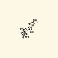 Nc1ncn([C@H]2C[C@H](O)[C@@H](COP(=O)(O)OP(=O)(O)OP(=O)(O)O)O2)c(=O)n1